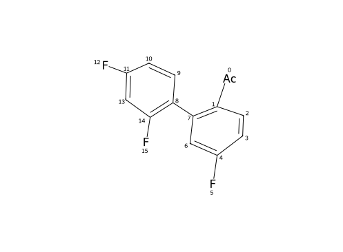 CC(=O)c1ccc(F)cc1-c1ccc(F)cc1F